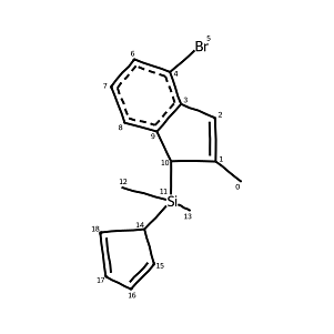 CC1=Cc2c(Br)cccc2C1[Si](C)(C)C1C=CC=C1